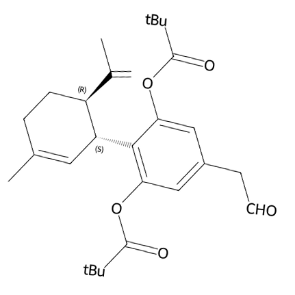 C=C(C)[C@@H]1CCC(C)=C[C@H]1c1c(OC(=O)C(C)(C)C)cc(CC=O)cc1OC(=O)C(C)(C)C